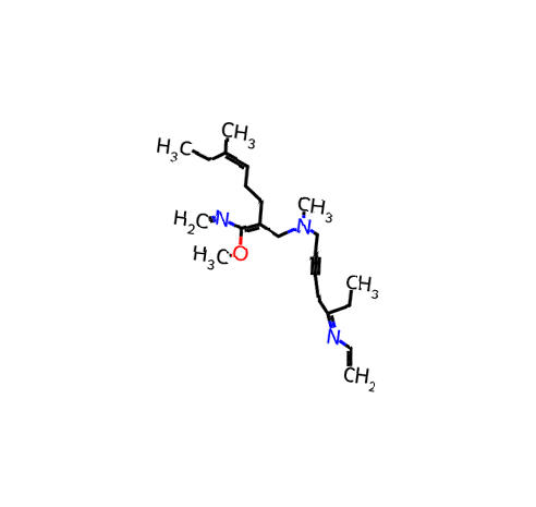 C=C/N=C(\CC)CC#CCN(C)C/C(CC/C=C(/C)CC)=C(/N=C)OC